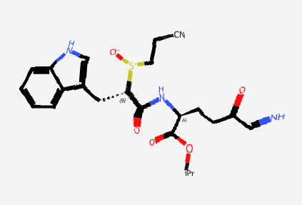 CC(C)OC(=O)[C@H](CCC(=O)C=N)NC(=O)[C@H](Cc1c[nH]c2ccccc12)[S+]([O-])CCC#N